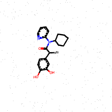 CCCC(C(=O)N(c1ccccn1)C1CCCCC1)c1ccc(O)c(O)c1